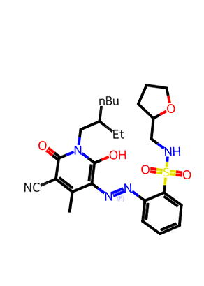 CCCCC(CC)Cn1c(O)c(/N=N/c2ccccc2S(=O)(=O)NCC2CCCO2)c(C)c(C#N)c1=O